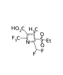 CCS(=O)(=O)c1c(C(F)F)nc(C(F)(F)F)c(C(=O)O)c1C